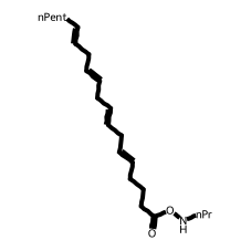 CCCCCC=CCC=CCC=CCC=CCCCC(=O)ONCCC